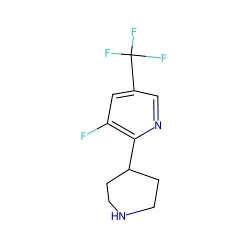 Fc1cc(C(F)(F)F)cnc1C1CCNCC1